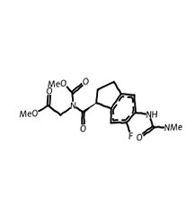 CNC(=O)Nc1cc2c(cc1F)[C@@H](C(=O)N(CC(=O)OC)C(=O)OC)CC2